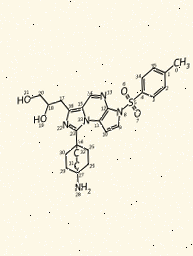 Cc1ccc(S(=O)(=O)n2ccc3c2ncc2c(CC(O)CO)nc(C45CCC(N)(CC4)CC5)n23)cc1